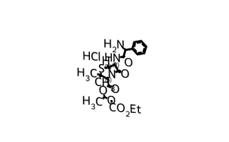 CCOC(=O)OC(C)OC(=O)[C@@H]1N2C(=O)[C@@H](NC(=O)C(N)c3ccccc3)[C@H]2SC1(C)C.Cl